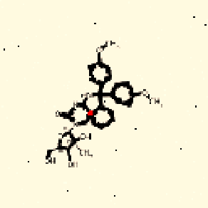 COc1ccc(C(Nc2ccn([C@H]3O[C@H](CO)C(O)[C@]3(C)O)c(=O)n2)(c2ccccc2)c2ccc(OC)cc2)cc1